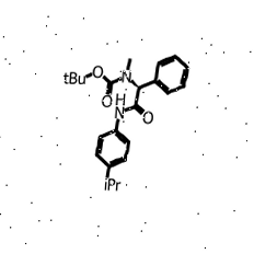 CC(C)c1ccc(NC(=O)[C@H](c2ccccc2)N(C)C(=O)OC(C)(C)C)cc1